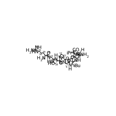 CC[C@H](C)[C@H](NC(=O)[C@H](C)NC(=O)[C@@H]1CCCN1C(=O)[C@H](CO)NC(=O)CNC(=O)[C@@H](N)CCCNC(=N)N)C(=O)N[C@@H](CC(N)=O)C(=O)N[C@H](C(=O)O)C(C)C